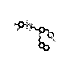 CC(=O)N1CCN(Cc2ccc(CCC(=O)NS(=O)(=O)c3ccc(F)c(F)c3)c(OCCc3ccc4ccccc4c3)c2)CC1